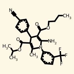 CCCCOC(=O)C1=C(N)N(c2cccc(C(F)(F)F)c2)C(C)=C(C(=O)OC(C)C)C1c1ccc(C#N)cc1